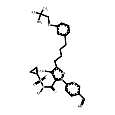 BC(C)(P)COc1cccc(CCCCc2nn(-c3ccc(C=N)cn3)c(C(=O)N(C)S(=O)(=O)C3CC3)c2C=O)c1